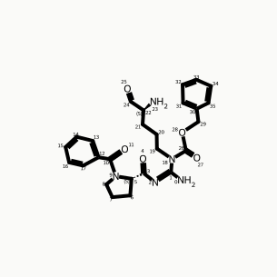 NC(=NC(=O)[C@@H]1CCCN1C(=O)c1ccccc1)N(CCC[C@H](N)C=O)C(=O)OCc1ccccc1